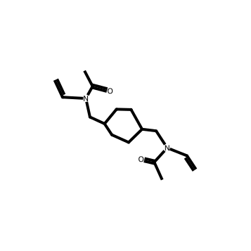 C=CN(CC1CCC(CN(C=C)C(C)=O)CC1)C(C)=O